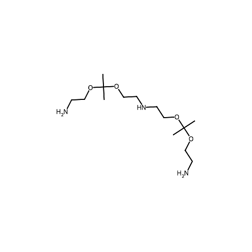 CC(C)(OCCN)OCCNCCOC(C)(C)OCCN